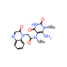 CCCCN(C(=O)Cn1c(=O)cnc2ccccc21)c1c(N)n(CCCC)c(=O)[nH]c1=O